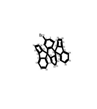 Brc1ccc2c(c1)C1(c3ccccc3-c3ccccc31)c1ccccc1C21c2ccccc2-c2ccccc21